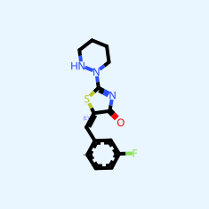 O=C1N=C(N2CCCCN2)S/C1=C/c1[c]ccc(F)c1